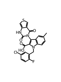 Cc1ccc2c(c1)c(-n1c(=O)[nH]c3cscc3c1=O)c(C(=O)O)n2Cc1cc(Cl)ccc1F